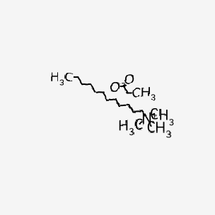 CCC(=O)[O-].CCCCCCCCCCCC[N+](C)(C)C